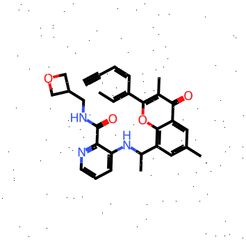 C#C/C=C\C(=C/C)c1oc2c(C(C)Nc3cccnc3C(=O)NCC3COC3)cc(C)cc2c(=O)c1C